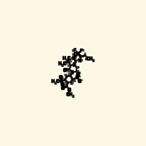 C=N/C(=N\C(=C/C)C(F)(F)F)N1CCN(c2cc(S(C)(=O)=O)c(C(=O)OC)cc2[N+](=O)[O-])C(=O)[C@H]1C(C)C